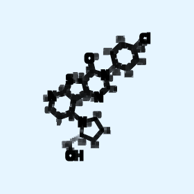 O=c1c2sc3nccc(N4CCC[C@@H]4CO)c3c2ncn1-c1ccc(Cl)cc1